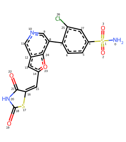 NS(=O)(=O)c1ccc(-c2cncc3cc(/C=C4/SC(=O)NC4=O)oc23)c(Cl)c1